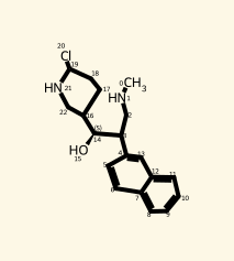 CNCC(c1ccc2ccccc2c1)[C@@H](O)C1CCC(Cl)NC1